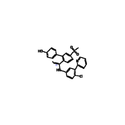 C/C=C(/Nc1ccc(Cl)c(-c2ccccn2)c1)c1ccc(S(C)(=O)=O)cc1-c1ccc(O)cc1